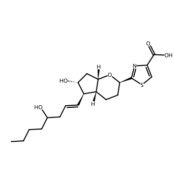 CCCCC(O)C/C=C/[C@@H]1[C@H]2CC[C@H](c3nc(C(=O)O)cs3)O[C@H]2C[C@H]1O